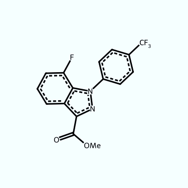 COC(=O)c1nn(-c2ccc(C(F)(F)F)cc2)c2c(F)cccc12